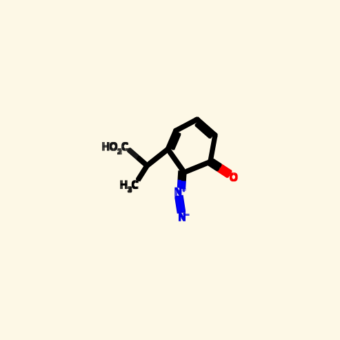 CC(C(=O)O)C1=CC=CC(=O)C1=[N+]=[N-]